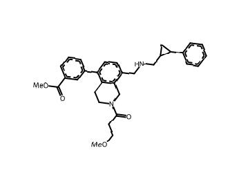 COCCC(=O)N1CCc2c(-c3cccc(C(=O)OC)c3)ccc(CNCC3CC3c3ccccc3)c2C1